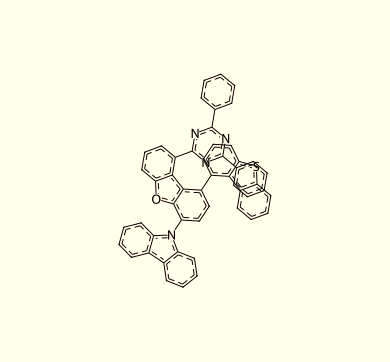 c1ccc(-c2nc(-c3ccccc3)nc(-c3cccc4oc5c(-n6c7ccccc7c7ccccc76)ccc(-c6cccc7sc8ccccc8c67)c5c34)n2)cc1